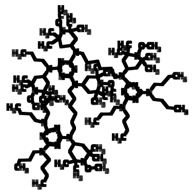 CCCCN(CCCC)c1nc(N(CCCC)CCCC)nc(N(CCCCCCN(c2nc(N(CCCC)C3CC(C)(C)N(OC)C(C)(C)C3)nc(N(CCCCCCN(c3nc(N(CCCC)CCCC)nc(N(CCCC)CCCC)n3)C3CC(C)(C)N(OC)C(C)(C)C3)C3CC(C)(C)N(OC)C(C)(C)C3)n2)C2CC(C)(C)N(OC)C(C)(C)C2)C2CC(C)(C)N(OC)C(C)(C)C2)n1